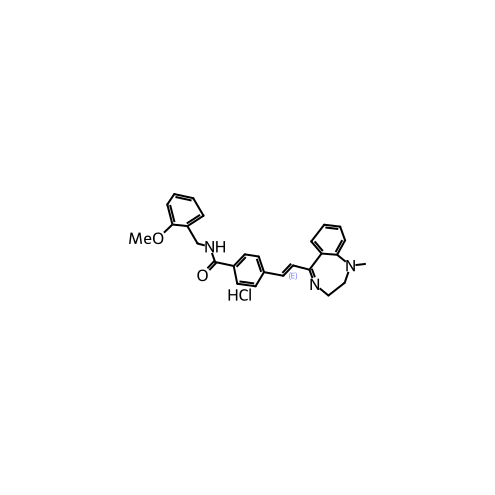 COc1ccccc1CNC(=O)c1ccc(/C=C/C2=NCCN(C)c3ccccc32)cc1.Cl